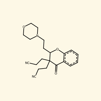 N#CCCC1(CCC#N)C(=O)c2ccccc2OC1CCN1CCOCC1